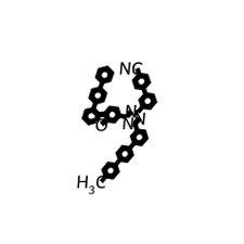 Cc1ccc(-c2ccc(-c3cccc(-c4nc(-c5cccc(-c6ccc(C#N)cc6)c5)nc(-c5ccc6c(c5)oc5cccc(-c7ccc(-c8ccccc8)cc7)c56)n4)c3)cc2)cc1